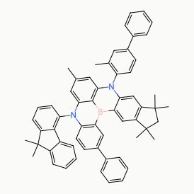 Cc1cc2c3c(c1)N(c1cccc4c1-c1ccccc1C4(C)C)c1ccc(-c4ccccc4)cc1B3c1cc3c(cc1N2c1ccc(-c2ccccc2)cc1C)C(C)(C)CC3(C)C